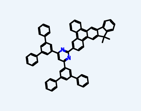 CC1(C)c2ccccc2-c2cc3c4ccccc4c4cc(-c5nc(-c6cc(-c7ccccc7)cc(-c7ccccc7)c6)cc(-c6cc(-c7ccccc7)cc(-c7ccccc7)c6)n5)ccc4c3cc21